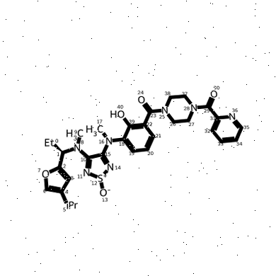 CC[C@H](c1cc(C(C)C)co1)N(C)c1n[s+]([O-])nc1N(C)c1cccc(C(=O)N2CCN(C(=O)c3ccccn3)CC2)c1O